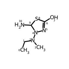 CCN(C)N1N=C(O)SC1N